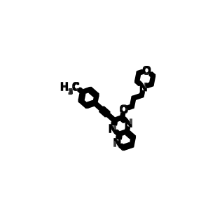 Cc1ccc(C#Cc2nc3ncccc3nc2OCCCN2CCOCC2)cc1